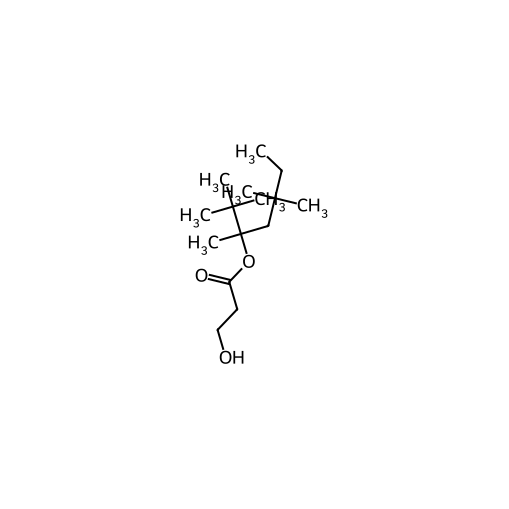 CCC(C)(C)CC(C)(OC(=O)CCO)C(C)(C)C